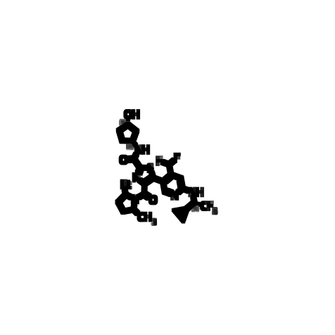 CCC1CCC(C)N1C(=O)c1nc(C(=O)N[C@H]2CC[C@H](O)C2)sc1-c1cnc(N[C@@H](C2CC2)C(F)(F)F)cc1C(F)F